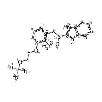 [2H]C([2H])([2H])OCCOc1ccnc(C[S+]([O-])c2nc3ccccc3[nH]2)c1C